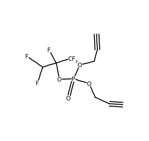 C#CCOP(=O)(OCC#C)OC(F)(C(F)F)C(F)(F)F